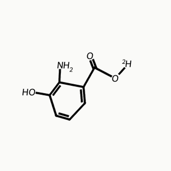 [2H]OC(=O)c1cccc(O)c1N